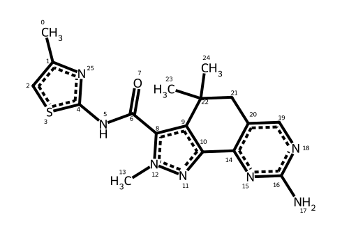 Cc1csc(NC(=O)c2c3c(nn2C)-c2nc(N)ncc2CC3(C)C)n1